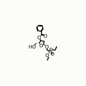 CCOP(=O)(CO[C@@H]1CC(OC(=O)c2ccccc2)[C@@H](CO)O1)OCC